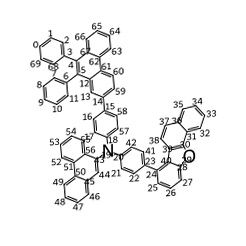 c1ccc(-c2c(-c3ccccc3)c3cc(-c4ccc(N(c5ccc(-c6cccc7oc8c9ccccc9ccc8c67)cc5)c5cc6ccccc6c6ccccc56)cc4)ccc3c3ccccc23)cc1